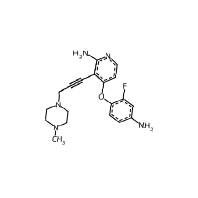 CN1CCN(CC#Cc2c(Oc3ccc(N)cc3F)ccnc2N)CC1